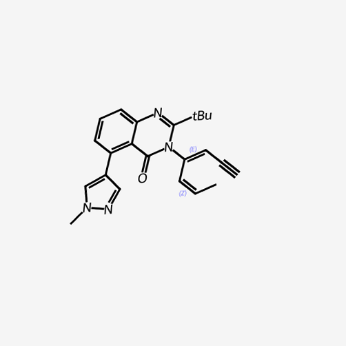 C#C/C=C(\C=C/C)n1c(C(C)(C)C)nc2cccc(-c3cnn(C)c3)c2c1=O